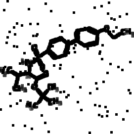 CCOc1ccc(-c2ccc(S(=O)(=O)N[C@@H](C(=O)OC(C)(C)C)C(C)C)cc2)cc1